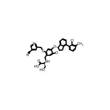 Cc1cccc(-c2cccc3c2CC[C@@H]3Oc2cc(OCc3cncc(C#N)c3)c(CN[C@@H](CO)C(=O)O)cc2Cl)c1Cl